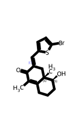 CC1=C2CCC[C@H](O)[C@@]2(C)C/C(=C\c2ccc(Br)s2)C1=O